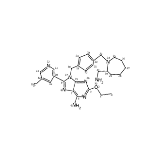 CCOc1nc(N)c2nc(-c3cncc(F)c3)n(Cc3ccc(CN4CCCCCC4CN)cc3)c2n1